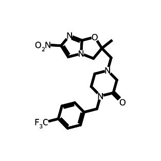 CC1(CN2CCN(Cc3ccc(C(F)(F)F)cc3)C(=O)C2)Cn2cc([N+](=O)[O-])nc2O1